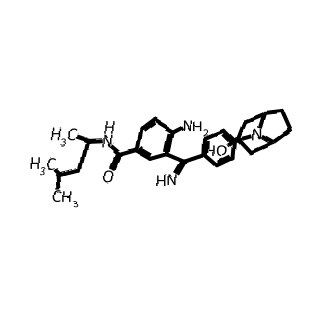 CC(C)CC(C)NC(=O)c1ccc(N)c(C(=N)c2ccc(N3C4CCC3CC(O)C4)cc2)c1